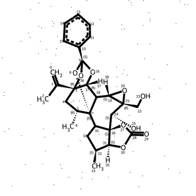 C=C(C)[C@]12C[C@@H](C)[C@@]34O[C@](c5ccccc5)(O[C@@H]1C3[C@@H]1O[C@]1(CO)[C@@H](O)[C@]13OC(=O)O[C@H]1[C@@H](C)CC43)O2